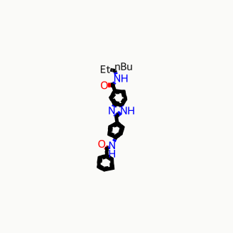 CCCCC(CC)NC(=O)c1ccc2[nH]c(-c3ccc(NC(=O)c4ccccc4)cc3)nc2c1